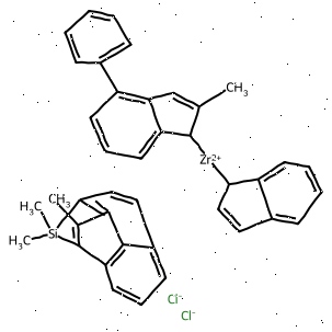 CC1=C2c3cccc4ccc(c1c34)[Si]2(C)C.CC1=Cc2c(-c3ccccc3)cccc2[CH]1[Zr+2][CH]1C=Cc2ccccc21.[Cl-].[Cl-]